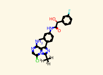 [2H]C([2H])([2H])c1nc(-c2ccc(NC(=O)[C@@H](O)c3cccc(F)c3)cc2C)c2c(N)ncc(Cl)n12